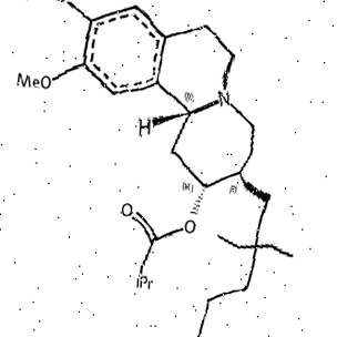 COc1cc2c(cc1OC)[C@H]1C[C@@H](OC(=O)C(C)C)[C@H](CC(C)(C)CCF)CN1CC2